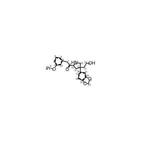 CC(C)Oc1cccc(CC(=O)C2CC(CCO)(c3ccc4c(c3)OCO4)CN2)c1